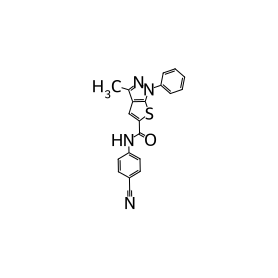 Cc1nn(-c2ccccc2)c2sc(C(=O)Nc3ccc(C#N)cc3)cc12